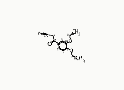 CCOc1ccc(C(=O)CC#N)cc1OCC